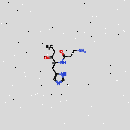 CCC(=O)[C@H](Cc1cnc[nH]1)NC(=O)CCN